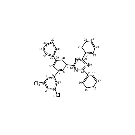 Clc1cc(Cl)cc(C2=CC(c3nc(C4=CCCC=C4)nc(C4=CC=CCC4)n3)CC(c3ccccc3)=C2)c1